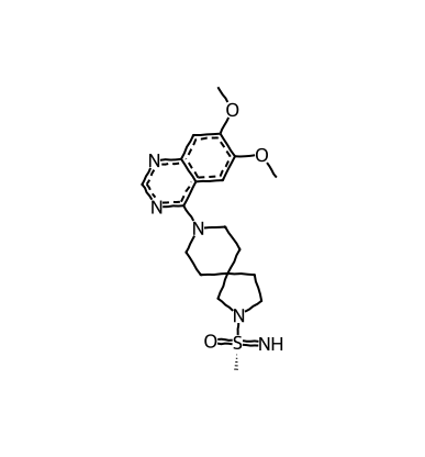 COc1cc2ncnc(N3CCC4(CC3)CCN([S@@](C)(=N)=O)C4)c2cc1OC